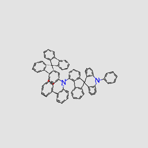 c1ccc(-c2ccccc2N(c2ccc3c(c2)C2(c4ccccc4-c4ccccc42)c2ccccc2-3)c2cccc3c2-c2ccccc2C32c3ccccc3N(c3ccccc3)c3ccccc32)cc1